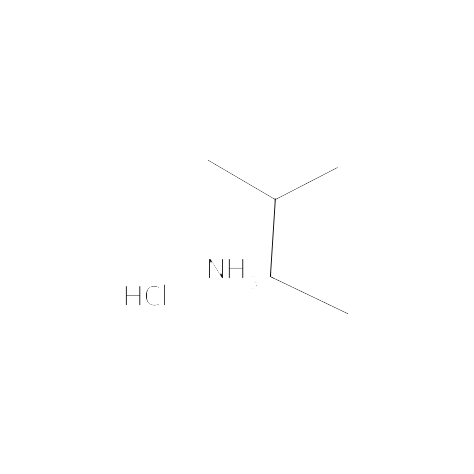 CCC(C)C.Cl.N